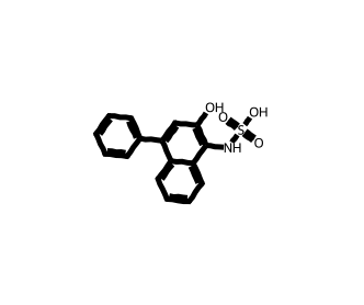 O=S(=O)(O)Nc1c(O)cc(-c2ccccc2)c2ccccc12